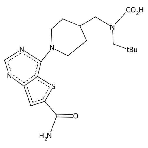 CC(C)(C)CN(CC1CCN(c2ncnc3cc(C(N)=O)sc23)CC1)C(=O)O